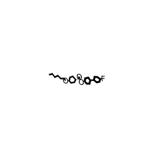 CCCCCCO[C@H]1CC[C@H](C(=O)Oc2ccc(-c3ccc(F)cc3)cc2)CC1